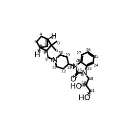 CC1(C)[C@H]2CC[C@H](C2)[C@@H]1CN1CCC(n2c(=O)n(C[C@@H](O)CO)c3ccccc32)CC1